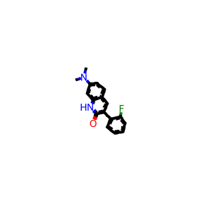 CN(C)c1ccc2cc(-c3ccccc3F)c(=O)[nH]c2c1